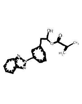 C=C(C)C(=O)OC(O)Cc1cccc(-n2nc3ccccc3n2)c1